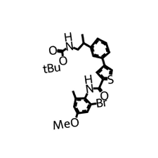 COc1cc(C)c(NC(=O)c2cc(-c3cccc(C(C)CNC(=O)OC(C)(C)C)c3)cs2)c(Br)c1